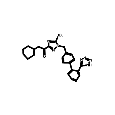 CC(C)(C)c1nc(C(=O)CC2CCCCC2)nn1Cc1ccc(-c2ccccc2-c2nnn[nH]2)cc1